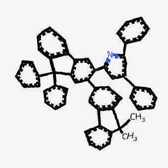 CC1(C)c2ccccc2-c2cc(-c3cc4c(cc3-c3cc(-c5ccccc5)cc(-c5ccccc5)n3)-c3ccccc3C4(c3ccccc3)c3ccccc3)ccc21